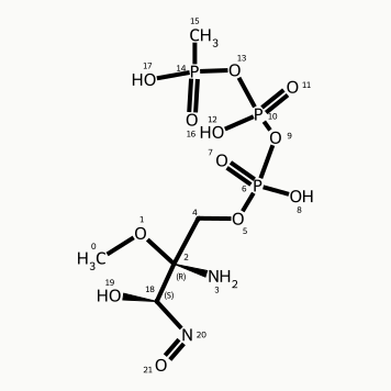 CO[C@](N)(COP(=O)(O)OP(=O)(O)OP(C)(=O)O)[C@H](O)N=O